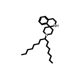 CCCCCCCC(CCCCCCC)N1CCC2(CC1)NCCc1ccccc12